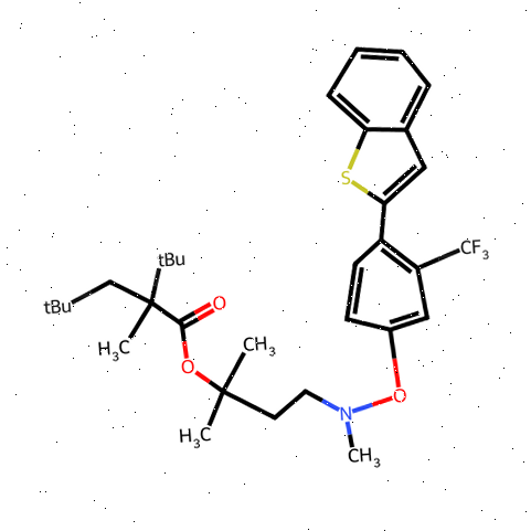 CN(CCC(C)(C)OC(=O)C(C)(CC(C)(C)C)C(C)(C)C)Oc1ccc(-c2cc3ccccc3s2)c(C(F)(F)F)c1